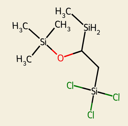 C[SiH2]C(C[Si](Cl)(Cl)Cl)O[Si](C)(C)C